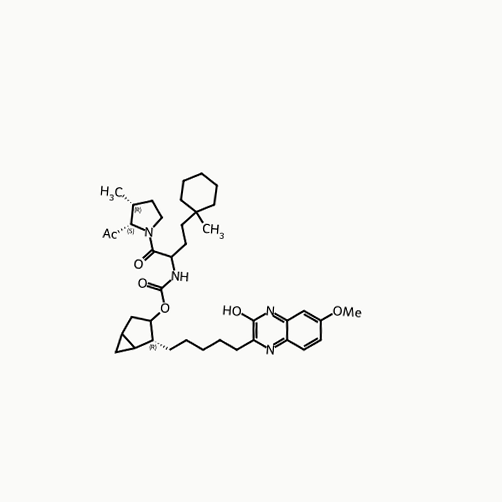 COc1ccc2nc(CCCCC[C@H]3C(OC(=O)NC(CCC4(C)CCCCC4)C(=O)N4CC[C@@H](C)[C@H]4C(C)=O)CC4CC43)c(O)nc2c1